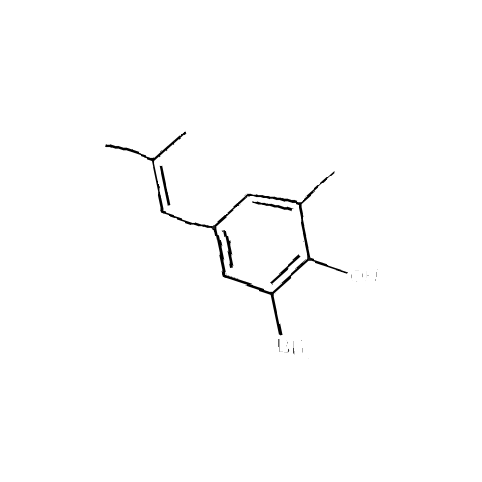 Bc1cc(C=C(C)C)cc(C)c1O